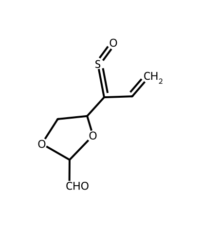 C=CC(=S=O)C1COC(C=O)O1